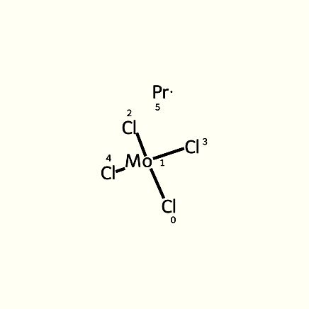 [Cl][Mo]([Cl])([Cl])[Cl].[Pr]